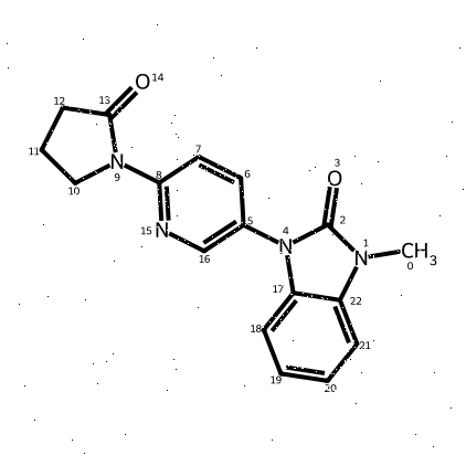 Cn1c(=O)n(-c2ccc(N3CCCC3=O)nc2)c2ccccc21